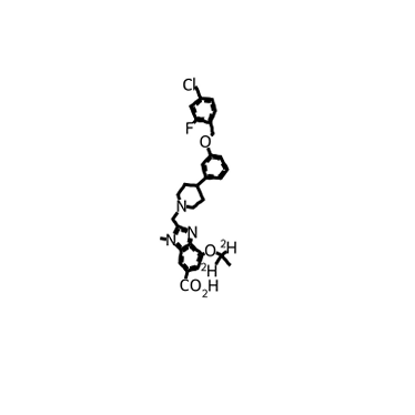 [2H]C([2H])(C)Oc1cc(C(=O)O)cc2c1nc(CN1CCC(c3cccc(OCc4ccc(Cl)cc4F)c3)CC1)n2C